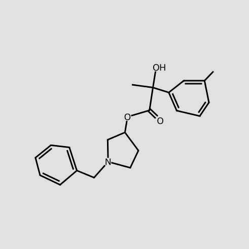 Cc1cccc(C(C)(O)C(=O)OC2CCN(Cc3ccccc3)C2)c1